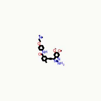 COc1cc2nc(N)nc(C#Cc3cc(C(=O)Nc4ccc(OCCN(C)C)cc4)ccc3C)c2cc1OC